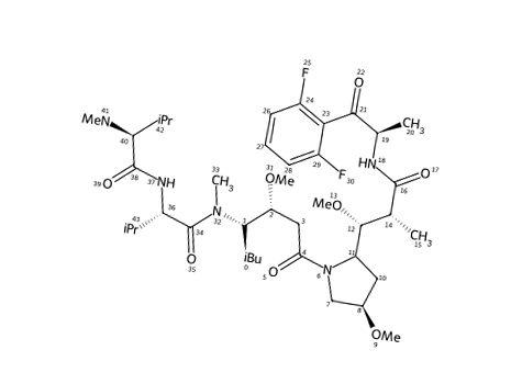 CC[C@H](C)[C@@H]([C@@H](CC(=O)N1C[C@H](OC)CC1[C@H](OC)[C@@H](C)C(=O)N[C@H](C)C(=O)c1c(F)cccc1F)OC)N(C)C(=O)[C@@H](NC(=O)[C@@H](NC)C(C)C)C(C)C